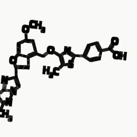 COc1cc(COc2nc(-c3ccc(C(=O)O)cc3)sc2C)c2cc(-c3cn4nc(C)sc4n3)oc2c1